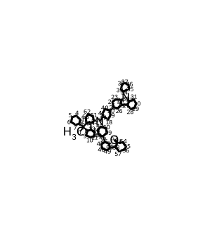 CC1(c2ccccc2)c2ccccc2-c2c(N(c3ccc(-c4ccc5c(c4)c4ccccc4n5-c4ccccc4)cc3)c3ccc(-c4cccc5c4oc4ccccc45)cc3)cccc21